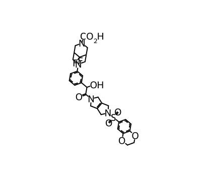 O=C(O)N1CC2CN(c3cccc(C(O)C(=O)N4CC5=C(C4)CN(S(=O)(=O)c4ccc6c(c4)OCCO6)C5)c3)CC(C1)C2(F)F